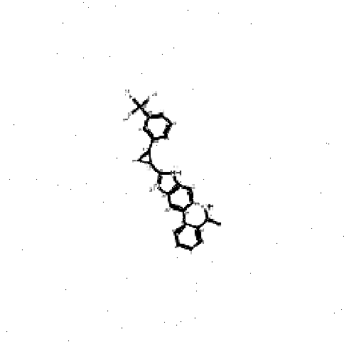 CC(O)c1ccccc1-c1ccc2[nH]c(C3CC3c3cccc(C(F)(F)F)c3)nc2c1